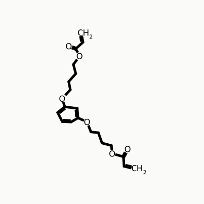 C=CC(=O)OCCCCOc1cccc(OCCCCOC(=O)C=C)c1